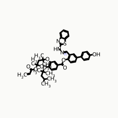 C=CC(=O)OC(C)(C)CC(C)(C)Oc1cc(C(=O)Oc2ccc(-c3ccc(O)cc3)cc2/C=N/Nc2nc3ccccc3s2)ccc1OC(C)(C)CC(C)C